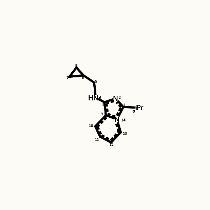 CC(C)c1nc(NCC2CC2)c2ccccn12